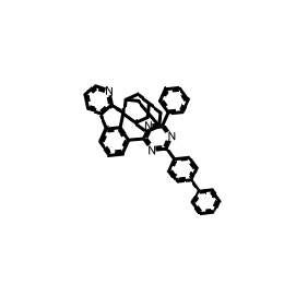 c1ccc(-c2ccc(-c3nc(-c4ccccc4)nc(-c4cccc5c4C4(c6ncccc6-5)C5CC6CC(C5)CC4C6)n3)cc2)cc1